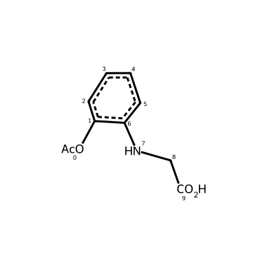 CC(=O)Oc1ccccc1NCC(=O)O